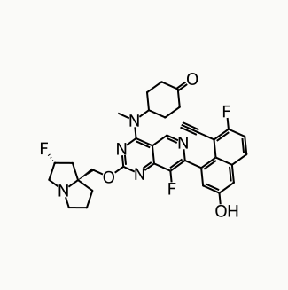 C#Cc1c(F)ccc2cc(O)cc(-c3ncc4c(N(C)C5CCC(=O)CC5)nc(OC[C@@]56CCCN5C[C@H](F)C6)nc4c3F)c12